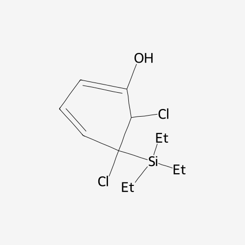 CC[Si](CC)(CC)C1(Cl)C=CC=C(O)C1Cl